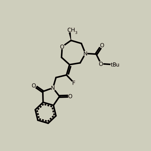 C[C@H]1CN(C(=O)OC(C)(C)C)C/C(=C(\F)CN2C(=O)c3ccccc3C2=O)CO1